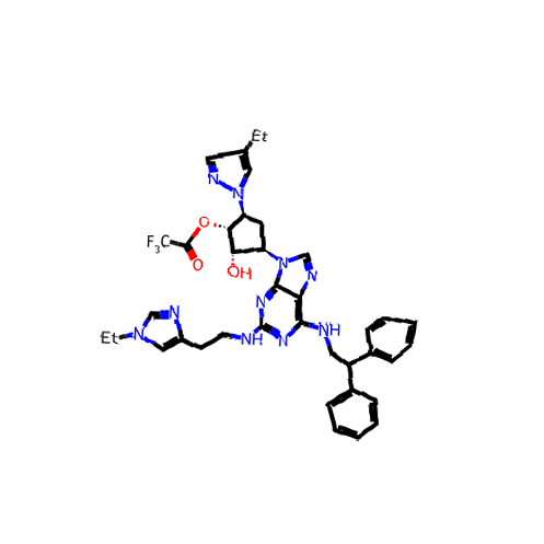 CCc1cnn([C@H]2C[C@@H](n3cnc4c(NCC(c5ccccc5)c5ccccc5)nc(NCCc5cn(CC)cn5)nc43)[C@H](O)[C@@H]2OC(=O)C(F)(F)F)c1